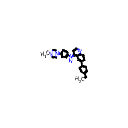 C=Cc1ccc(-c2ccc3nccc(Nc4ccc(N5CCN(C)CC5)cc4)c3c2)cc1